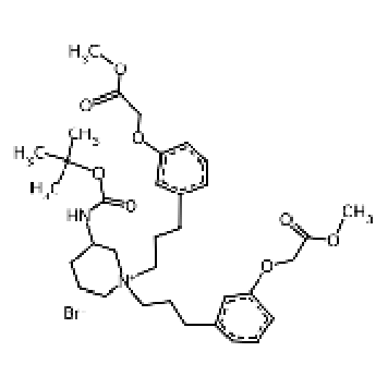 COC(=O)COc1cccc(CCC[N+]2(CCCc3cccc(OCC(=O)OC)c3)CCCC(NC(=O)OC(C)(C)C)C2)c1.[Br-]